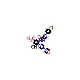 N#Cc1cccc(NC(=O)c2ccn(-c3ccc(Cl)cc3)c2)c1N1CCC(N2CCOCC2)CC1.O